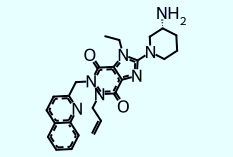 C=CCn1c(=O)c2nc(N3CCC[C@@H](N)C3)n(CC)c2c(=O)n1Cc1ccc2ccccc2n1